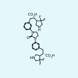 O=C(O)[C@@H](Cc1cccc(N2CCN(c3cccc(C[C@H](C(=O)O)C4CNCC4(F)F)c3)C2=O)c1)C1CNCC1(F)F